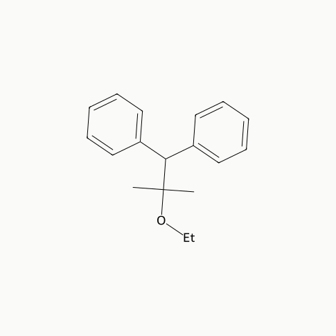 CCOC(C)(C)C(c1ccccc1)c1ccccc1